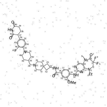 CCN1CC(F)(F)C(=O)N(C)c2cnc(Nc3ccc(C(=O)NC4CC5(CCN(CC6CCN(c7ccc(C8CCC(=O)NC8=O)cc7F)CC6)CC5)C4)cc3OC)nc21